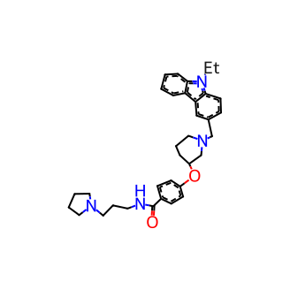 CCn1c2ccccc2c2cc(CN3CCCC(Oc4ccc(C(=O)NCCCN5CCCC5)cc4)C3)ccc21